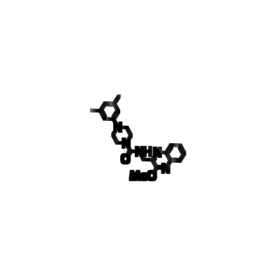 COc1nc2ccccc2nc1CNC(=O)N1CCN(c2cc(C)cc(C)c2)CC1